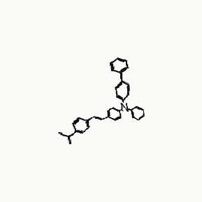 CC(C)c1ccc(/C=C/c2ccc(N(c3ccccc3)c3ccc(-c4ccccc4)cc3)cc2)cc1